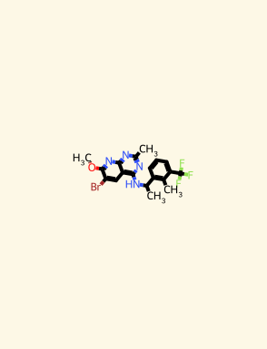 COc1nc2nc(C)nc(NC(C)c3cccc(C(F)(F)F)c3C)c2cc1Br